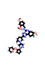 COc1ccc(CNc2nc3cc(OC)c(F)cc3c3nc(C4CCC(C)N(c5cnn(C6CCCC6OC6CCCCO6)c5)C4)nn23)c(OC)c1